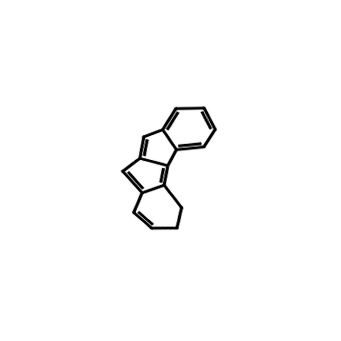 C1=CC2=CC3=Cc4ccccc4C3=C2CC1